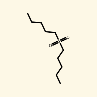 CCCCCS(=O)(=O)CCCCC